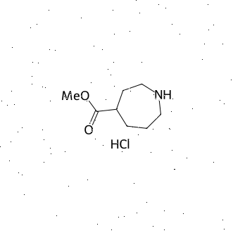 COC(=O)C1CCCNCC1.Cl